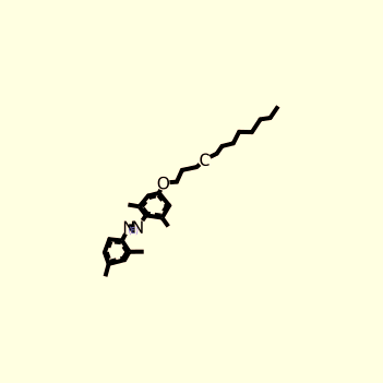 CCCCCCCCCCCCOc1cc(C)c(/N=N/c2ccc(C)cc2C)c(C)c1